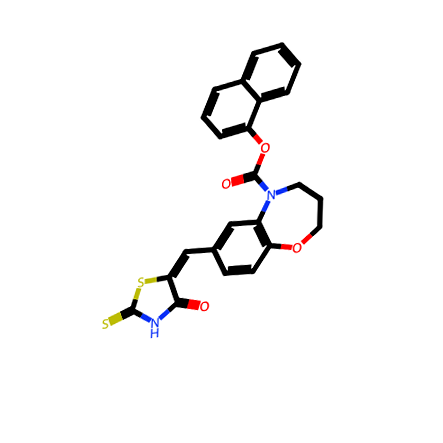 O=C1NC(=S)SC1=Cc1ccc2c(c1)N(C(=O)Oc1cccc3ccccc13)CCCO2